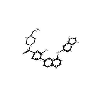 CCN1CCN(C(=O)c2ccc(-c3ccc4nccc(Nc5ccc6scnc6c5)c4c3)c(F)c2)CC1